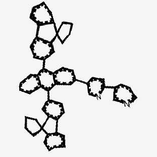 c1cncc(-c2ccc(-c3ccc4c(-c5ccc6c(c5)C5(CCCC5)c5ccccc5-6)c5ccccc5c(-c5ccc6c(c5)C5(CCCC5)c5ccccc5-6)c4c3)cn2)c1